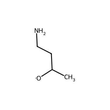 CC([O])CCN